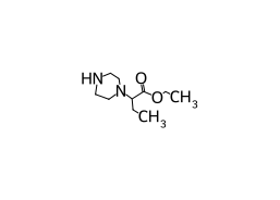 CCOC(=O)C(CC)N1CCNCC1